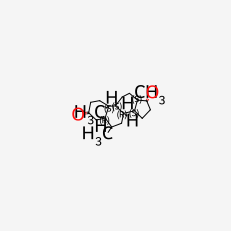 CC1C[C@@H]2[C@H](CC[C@]3(C)C(=O)CC[C@@H]23)[C@@]2(C)CCC(=O)C[C@H]12